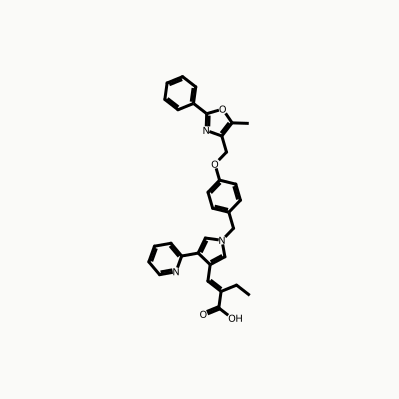 CCC(=Cc1cn(Cc2ccc(OCc3nc(-c4ccccc4)oc3C)cc2)cc1-c1ccccn1)C(=O)O